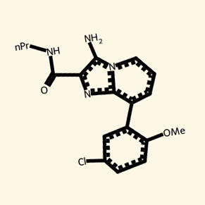 CCCNC(=O)c1nc2c(-c3cc(Cl)ccc3OC)cccn2c1N